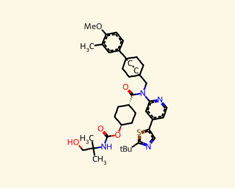 COc1ccc(C23CCC(CN(c4cc(-c5cnc(C(C)(C)C)s5)ccn4)C(=O)[C@H]4CC[C@H](OC(=O)NC(C)(C)CO)CC4)(CC2)CC3)cc1C